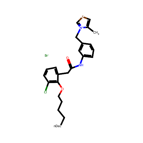 CCCCCCCCCCCCCCOc1c(Cl)cccc1CC(=O)Nc1cccc(C[n+]2cscc2C)c1.[Br-]